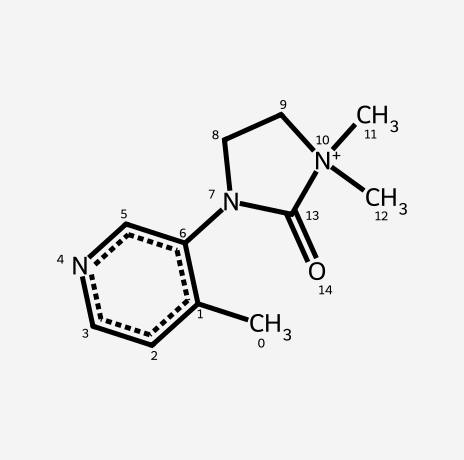 Cc1ccncc1N1CC[N+](C)(C)C1=O